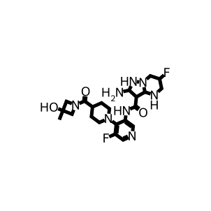 CC1(O)CN(C(=O)C2CCN(c3c(F)cncc3NC(=O)C3C(N)NN4CC(F)CNC34)CC2)C1